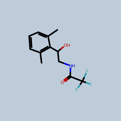 Cc1cccc(C)c1C(O)CNC(=O)C(F)(F)F